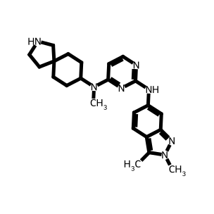 Cc1c2ccc(Nc3nccc(N(C)C4CCC5(CCNC5)CC4)n3)cc2nn1C